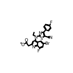 CCN(c1nc(-c2ccc(F)cc2)c(C#N)s1)c1cc(CC(=O)OC)nc2c(F)cc(Br)cc12